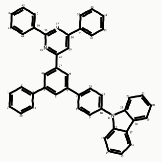 c1ccc(-c2cc(-c3ccc(-n4c5ccccc5c5ccccc54)cc3)cc(-c3cc(-c4ccccc4)nc(-c4ccccc4)n3)c2)cc1